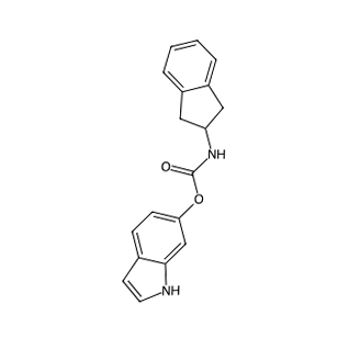 O=C(NC1Cc2ccccc2C1)Oc1ccc2cc[nH]c2c1